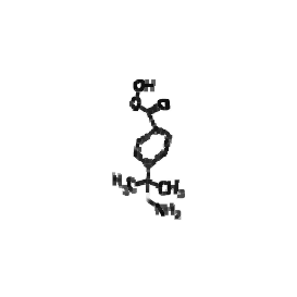 CC(C)(CN)c1ccc(C(=O)OO)cc1